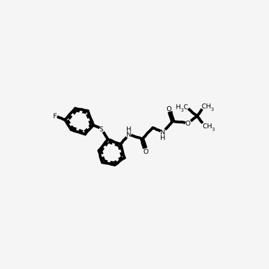 CC(C)(C)OC(=O)NCC(=O)Nc1ccccc1Sc1ccc(F)cc1